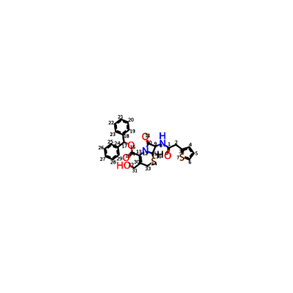 O=C(Cc1cccs1)NC1C(=O)N2C(C(=O)OC(c3ccccc3)c3ccccc3)=C(CO)CS[C@H]12